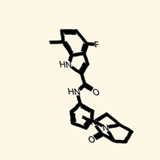 Cc1ccc(F)c2cc(C(=O)Nc3cccc(N4C5CCC4C(=O)N(C)C5)c3)[nH]c12